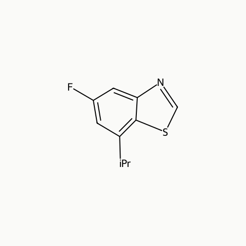 CC(C)c1cc(F)cc2ncsc12